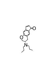 CCCN(CCC)[C@@H]1COc2cc3c(cc2C1)C(=O)C=C3